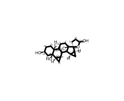 C[C@]12CCC3C(C1[C@@H]1C[C@@H]1[C@@]21CCC(O)O1)[C@H]1C[C@H]1[C@]1(O)C[C@@H](O)CC[C@]31C